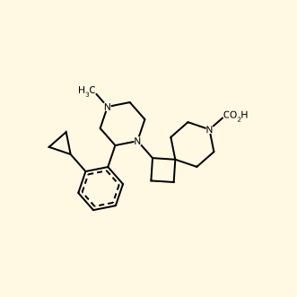 CN1CCN(C2CCC23CCN(C(=O)O)CC3)C(c2ccccc2C2CC2)C1